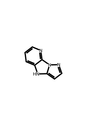 c1cnc2c(c1)[nH]c1ccnn12